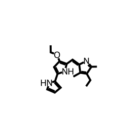 CCOc1cc(-c2ccc[nH]2)[nH]c1C=C1N=C(C)C(CC)=C1C